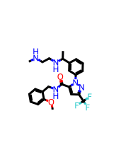 CNCCNC(C)c1cccc(-n2nc(C(F)(F)F)cc2C(=O)NCc2ccccc2OC)c1